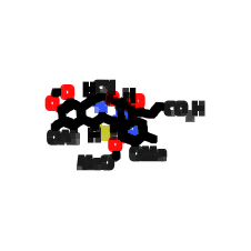 COCOc1c(OC)c(C)cc2c1[C@@H]1C3[C@@H]4SC[C@H](NC(=O)CCC(=O)O)C(=O)OC[C@@H](c5c6c(c(C)c(OC(C)=O)c54)OCO6)N3[C@@H](C#N)[C@H](C2)N1C